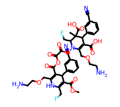 COC(=O)C1=C(CF)NC(COCCN)=C(C(=O)OC(=O)C(=O)ON2C(COCCN)=C(C(=O)O)C(c3cccc(C#N)c3)C(C)(C(=O)O)C2CF)C1c1cccc(C#N)c1